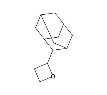 C1CC(C2C3CC4CC(C3)CC2C4)O1